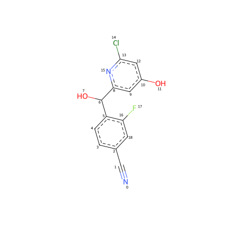 N#Cc1ccc(C(O)c2cc(O)cc(Cl)n2)c(F)c1